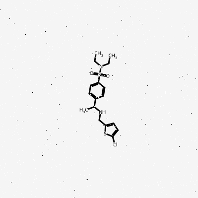 CCN(CC)S(=O)(=O)c1ccc(C(C)NCc2ccc(Cl)s2)cc1